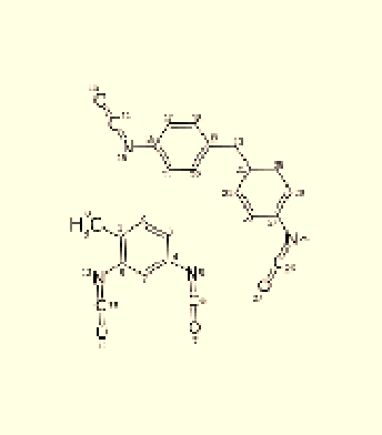 Cc1ccc(N=C=O)cc1N=C=O.O=C=Nc1ccc(Cc2ccc(N=C=O)cc2)cc1